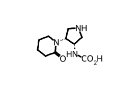 O=C(O)N[C@H]1CNC[C@H]1N1CCCCC1=O